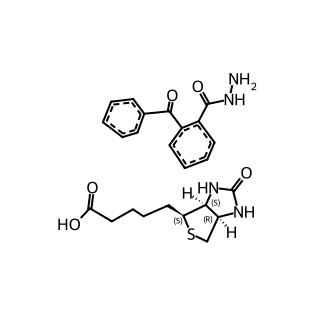 NNC(=O)c1ccccc1C(=O)c1ccccc1.O=C(O)CCCC[C@@H]1SC[C@@H]2NC(=O)N[C@@H]21